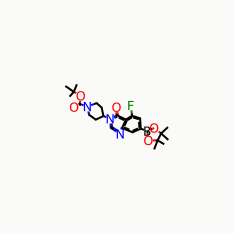 CC(C)(C)OC(=O)N1CCC(n2cnc3cc(B4OC(C)(C)C(C)(C)O4)cc(F)c3c2=O)CC1